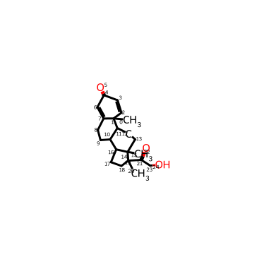 CC12C=CC(=O)C=C1CCC1C2CCC2(C)C1CCC2(C)C(=O)CO